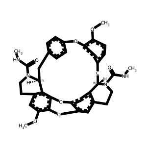 CNC(=O)N1CCc2cc3c4cc2[C@@H]1Cc1ccc(OC)c(c1)Oc1ccc(cc1)C[C@H]1c2c(cc(OC)c(c2O4)O3)CCN1C(=O)NC